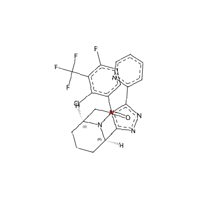 O=C(c1ccc(F)c(C(F)(F)F)c1Cl)N1[C@H]2CCC[C@@H]1c1nnc(-c3ccccn3)n1C2